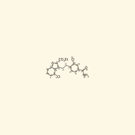 CCOC(=O)c1sc2cccc(Cl)c2c1CCc1ccc(C(N)=O)cc1Cl